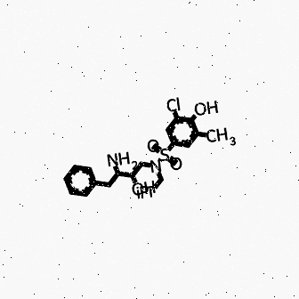 Cc1cc(S(=O)(=O)N(CC(C)C)CC(O)C(N)Cc2ccccc2)cc(Cl)c1O